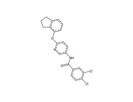 O=C(Nc1ccc(Oc2cccc3c2CCC3)nc1)c1ccc(Cl)c(Cl)c1